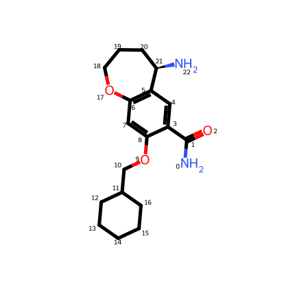 NC(=O)c1cc2c(cc1OCC1CCCCC1)OCCC[C@H]2N